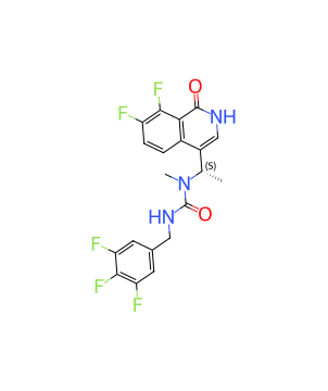 C[C@@H](c1c[nH]c(=O)c2c(F)c(F)ccc12)N(C)C(=O)NCc1cc(F)c(F)c(F)c1